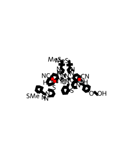 CSCC(C)(C)c1cc(N(C(=O)NCc2ccccc2Sc2ccc3nnc(-c4ccc(OCCO)cc4)n3c2)N(C(=O)NCc2ccccc2Sc2ccc3nnc(-c4ccccc4SC)n3c2)c2cc(C(C)(C)CSC)nn2-c2ccc(O)c(C#N)c2)n(-c2ccc(O)c(C#N)c2)n1